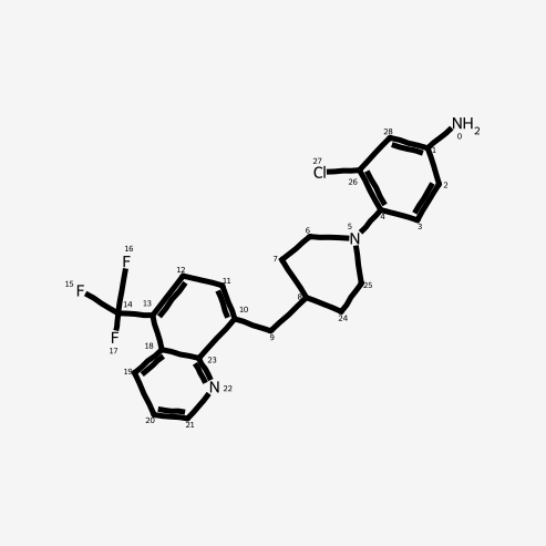 Nc1ccc(N2CCC(Cc3ccc(C(F)(F)F)c4cccnc34)CC2)c(Cl)c1